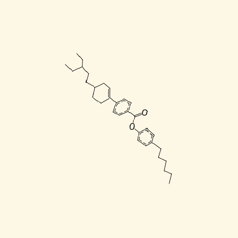 CCCCCCc1ccc(OC(=O)c2ccc(C3=CCC(CCC(CC)CC)CC3)cc2)cc1